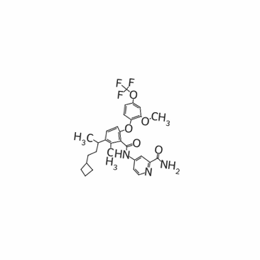 COc1cc(OC(F)(F)F)ccc1Oc1ccc(C(C)CCC2CCC2)c(C)c1C(=O)Nc1ccnc(C(N)=O)c1